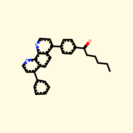 CCCCCC(=O)c1ccc(-c2ccnc3c2ccc2c(-c4ccccc4)ccnc23)cc1